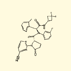 Cc1ccccc1[C@@H](C(=O)NC1CC(F)(F)C1)N(C(=O)[C@@H]1CCC(=O)N1c1nccc(C#N)n1)c1cccc(F)c1